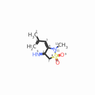 C=C(C)/C=C1\C(=N)CS(=O)(=O)N1C